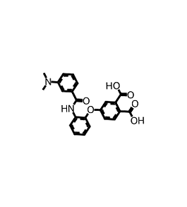 CN(C)c1cccc(C(=O)Nc2ccccc2Oc2ccc(C(=O)O)c(C(=O)O)c2)c1